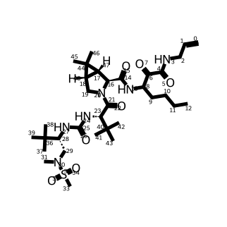 C=CCNC(=O)C(=O)C(CCCC)NC(=O)[C@@H]1[C@@H]2[C@H](CN1C(=O)[C@@H](NC(=O)N[C@H](CN(C)S(C)(=O)=O)C(C)(C)C)C(C)(C)C)C2(C)C